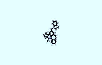 C/C(=C1\c2ccccc2CCc2cc(Cn3cnc4ccccc43)ccc21)c1nnn[nH]1